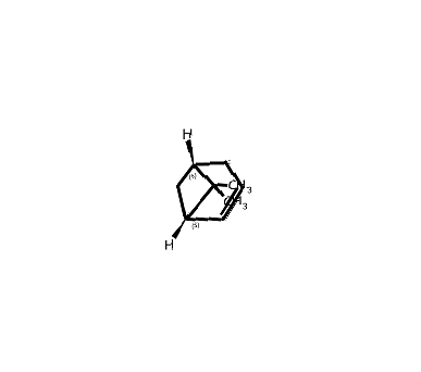 CC1(C)[C@@H]2C=C[C][C@H]1C2